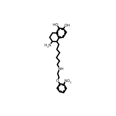 NC1CCc2c(ccc(O)c2O)C1CCCCCCNCCOc1ccccc1[N+](=O)[O-]